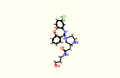 O=C(C[C@H]1CN(C2=Nc3cc(Cl)ccc3Oc3ccccc32)CCN1)NCCCO